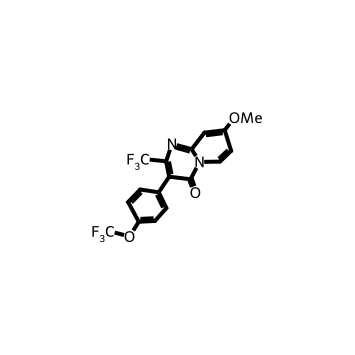 COc1ccn2c(=O)c(-c3ccc(OC(F)(F)F)cc3)c(C(F)(F)F)nc2c1